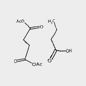 CC(=O)OC(=O)CCC(=O)OC(C)=O.CCCC(=O)O